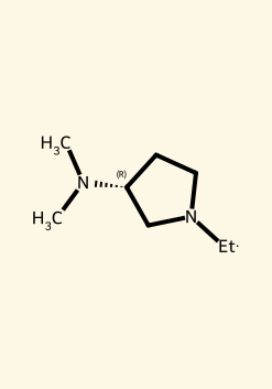 C[CH]N1CC[C@@H](N(C)C)C1